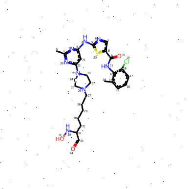 Cc1nc(Nc2ncc(C(=O)Nc3c(C)cccc3Cl)s2)cc(N2CCN(CCCCCC(C=O)NO)CC2)n1